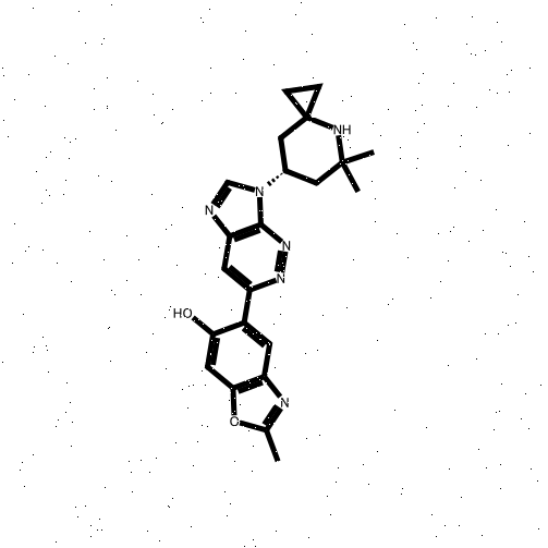 Cc1nc2cc(-c3cc4ncn([C@H]5CC(C)(C)NC6(CC6)C5)c4nn3)c(O)cc2o1